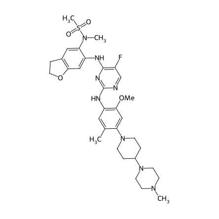 COc1cc(N2CCC(N3CCN(C)CC3)CC2)c(C)cc1Nc1ncc(F)c(Nc2cc3c(cc2N(C)S(C)(=O)=O)CCO3)n1